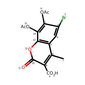 CC(=O)Oc1c(Br)cc2c(C)c(C(=O)O)c(=O)oc2c1OC(C)=O